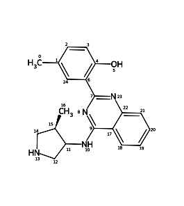 Cc1ccc(O)c(-c2nc(NC3CNC[C@H]3C)c3ccccc3n2)c1